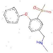 CNCc1ccc(Oc2ccccc2)c(S(C)(=O)=O)c1